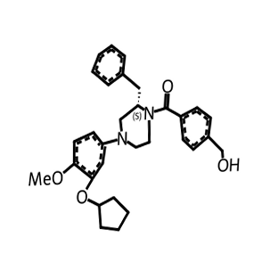 COc1ccc(N2CCN(C(=O)c3ccc(CO)cc3)[C@@H](Cc3ccccc3)C2)cc1OC1CCCC1